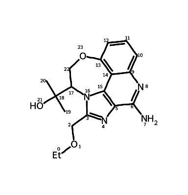 CCOCc1nc2c(N)nc3cccc4c3c2n1C(C(C)(C)O)CO4